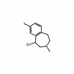 CCC1CN(C)CCc2ccc(I)cc21